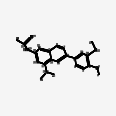 COc1ccc(-c2ccc3nc(NC(C)=O)nc(N(C)C)c3c2)cc1OC